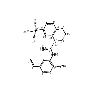 N=C(Nc1cc(C=S)ccc1Cl)N1CCCc2ccc(C(F)(F)F)cc21